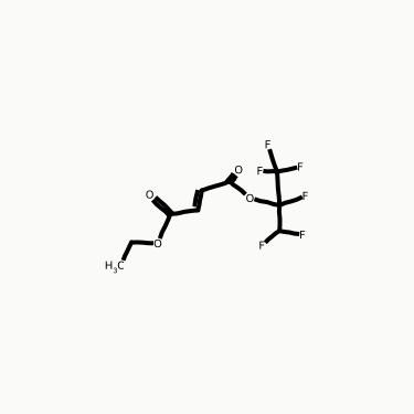 CCOC(=O)C=CC(=O)OC(F)(C(F)F)C(F)(F)F